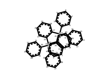 c1ccc([PH](c2ccccc2)(c2ccccc2)c2ccccc2[PH](c2ccccc2)(c2ccccc2)c2ccccc2)cc1